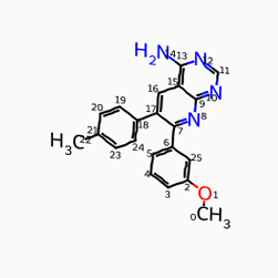 COc1cccc(-c2nc3ncnc(N)c3cc2-c2ccc(C)cc2)c1